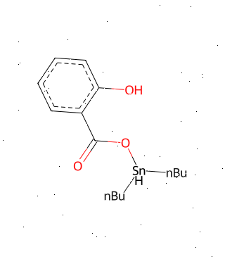 CCC[CH2][SnH]([CH2]CCC)[O]C(=O)c1ccccc1O